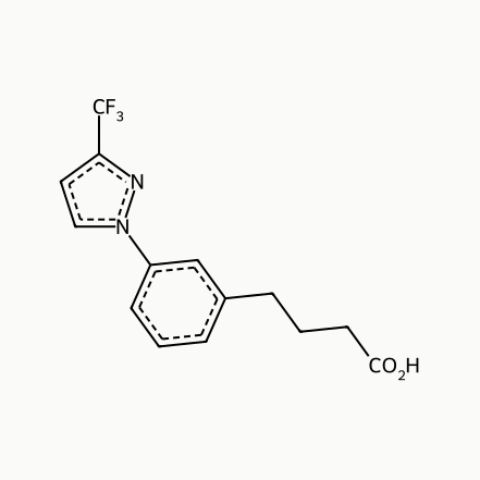 O=C(O)CCCc1cccc(-n2ccc(C(F)(F)F)n2)c1